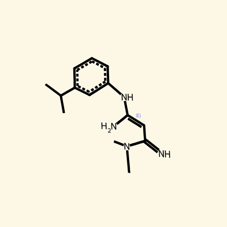 CC(C)c1cccc(N/C(N)=C/C(=N)N(C)C)c1